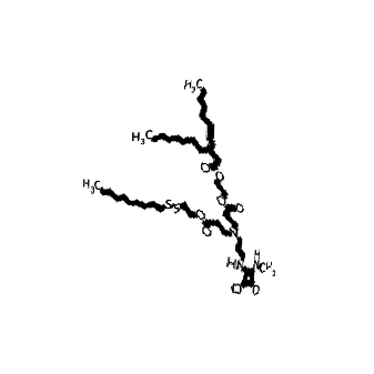 CCCCCCCCCCSSCCOC(=O)CCN(CCCNc1c(NC)c(=O)c1=O)CCC(=O)OCCOC(=O)CC(CCCCCCCC)CCCCCCCC